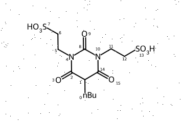 CCCCC1C(=O)N(CCS(=O)(=O)O)C(=O)N(CCS(=O)(=O)O)C1=O